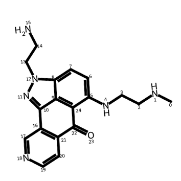 CNCCNc1ccc2c3c(nn2CCN)-c2cnccc2C(=O)c13